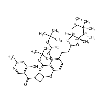 Cc1cc(O)c(C(=O)N2CC(Oc3ccc(CCB4O[C@@H]5C[C@H](C)C(C)(C)[C@H](C)[C@]5(C)O4)c(OC(=O)OC(C)(C)C)c3C(=O)OC(C)(C)C)C2)cn1